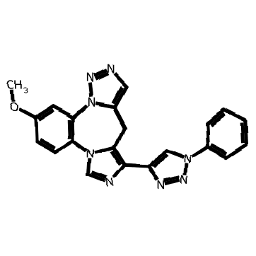 COc1ccc2c(c1)-n1nncc1Cc1c(-c3cn(-c4ccccc4)nn3)ncn1-2